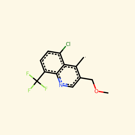 [CH2]c1c(COC)cnc2c(C(F)(F)F)ccc(Cl)c12